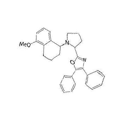 COc1cccc2c1CCCC2N1CCCC1c1nc(-c2ccccc2)c(-c2ccccc2)o1